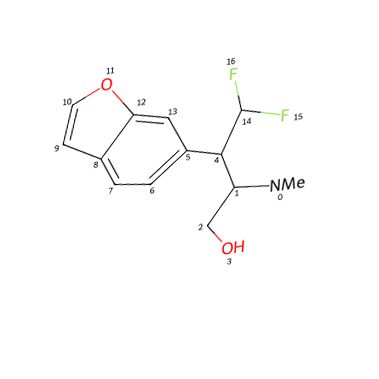 CNC(CO)C(c1ccc2ccoc2c1)C(F)F